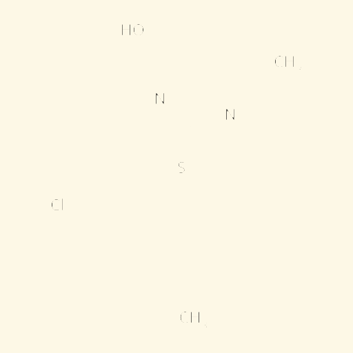 Cc1ccc(Cl)c(CSc2nc(C)cc(O)n2)c1